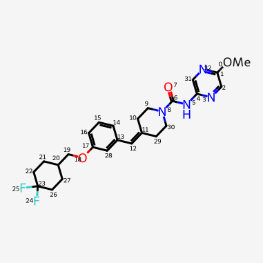 COc1cnc(NC(=O)N2CCC(=Cc3cccc(OCC4CCC(F)(F)CC4)c3)CC2)cn1